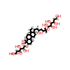 C[C@H](C(O)CCC(C)(C)OC(O)C(O)C(O)C(O)CCO)[C@H]1CC[C@@]2(C)C3=C(CC[C@]12C)[C@@]1(C)CC[C@H](OC(O)C(O)C(O)C(O)CCO)C(C)(C)C1CC3